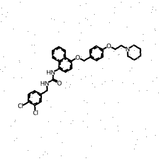 O=C(NCc1ccc(Cl)c(Cl)c1)Nc1ccc(OCc2ccc(OCCN3CCCCC3)cc2)c2ccccc12